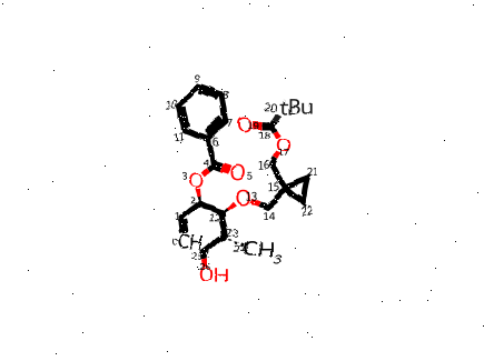 C=C[C@@H](OC(=O)c1ccccc1)[C@@H](OCC1(COC(=O)C(C)(C)C)CC1)[C@H](C)CO